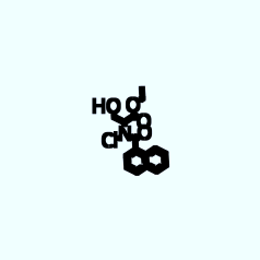 CCOC(=O)C(CO)N(Cl)C(=O)c1cccc2ccccc12